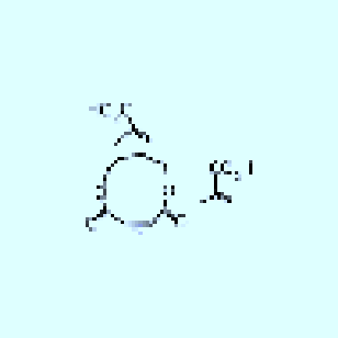 C=C(C)C(=O)O.C=C(C)C(=O)O.O=C1/C=C\C(=O)OCCCCO1